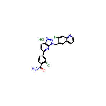 Cl.NC(=O)c1ccc(-c2ccc3nnn(Cc4cc5cccnc5cc4F)c3n2)cc1Cl